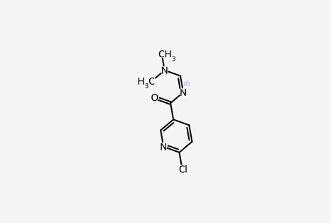 CN(C)/C=N\C(=O)c1ccc(Cl)nc1